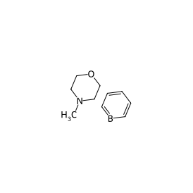 CN1CCOCC1.b1ccccc1